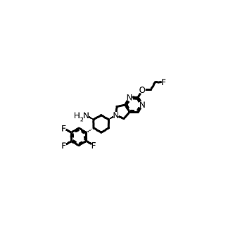 N[C@H]1C[C@@H](N2Cc3cnc(OCCF)nc3C2)CC[C@@H]1c1cc(F)c(F)cc1F